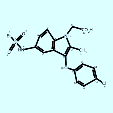 CCS(=O)(=O)Nc1ccc2c(c1)c(Oc1ccc(Cl)cc1)c(C)n2CC(=O)O